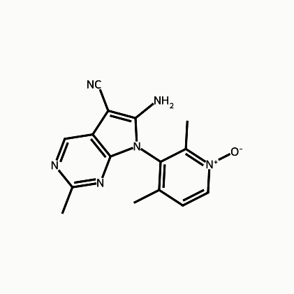 Cc1ncc2c(C#N)c(N)n(-c3c(C)cc[n+]([O-])c3C)c2n1